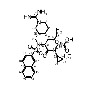 N=C(N)N1CCC[C@H](CN([C@@H](CC(N)=O)C(=O)N(CC(=O)O)C2CC2)S(=O)(=O)c2ccc3ccccc3c2)C1.O